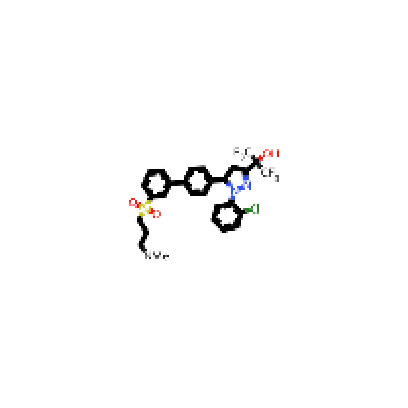 CNCCCS(=O)(=O)c1cccc(-c2ccc(C3CC(C(O)(C(F)(F)F)C(F)(F)F)=NN3c3ccccc3Cl)cc2)c1